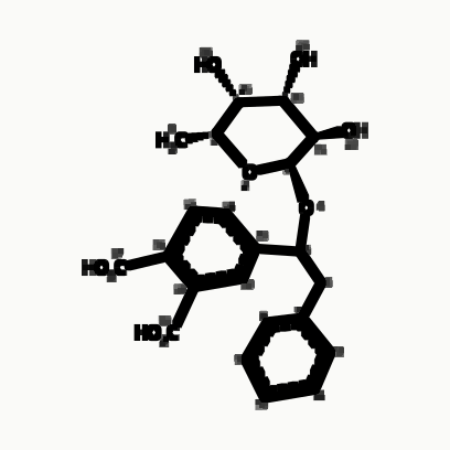 C[C@H]1O[C@H](OC(Cc2ccccc2)c2ccc(C(=O)O)c(C(=O)O)c2)[C@H](O)[C@@H](O)[C@H]1O